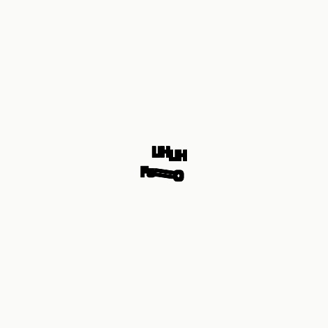 [LiH].[LiH].[O]=[Fe]